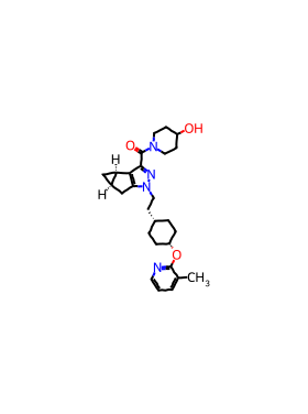 Cc1cccnc1O[C@H]1CC[C@@H](CCn2nc(C(=O)N3CCC(O)CC3)c3c2C[C@H]2C[C@@H]32)CC1